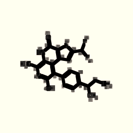 Cc1nc(O)c(-c2ccc(C(C)CN)cc2)c2c1[nH]c(=O)c1sc(C(F)F)cc12